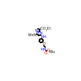 CCOC(=O)c1cnn2c(NC)cc(Nc3cccc(OCCNC(=O)OC(C)(C)C)c3)nc12